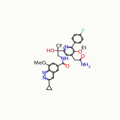 CCOc1c(CC(N)=O)cc([C@@](O)(CNC(=O)c2cc(OC)c3nnc(C4CC4)cc3c2)C(F)(F)F)nc1-c1ccc(F)cc1